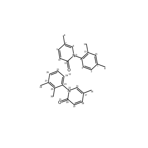 Cc1ccc(-n2cc(C)ccc2=O)c(C)c1.Cc1ccc(=O)n(-c2cccc(C)c2C)c1